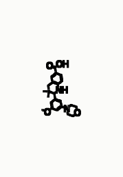 COc1cc(C2Nc3ccc(C(=O)O)cc3CC2(C)C)cc(N2CCOCC2)c1